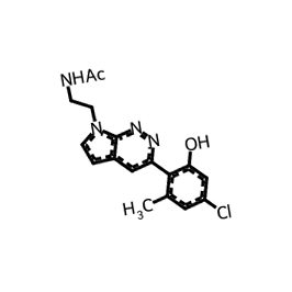 CC(=O)NCCn1ccc2cc(-c3c(C)cc(Cl)cc3O)nnc21